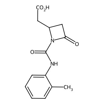 Cc1ccccc1NC(=O)N1C(=O)CC1CC(=O)O